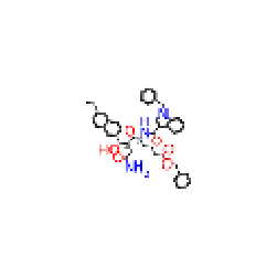 CCc1ccc2cc(C(O)[C@H](CC(N)=O)C(=O)[C@H](CCCC(=O)OCc3ccccc3)NC(=O)c3cn(Cc4ccccc4)c4ccccc34)ccc2c1